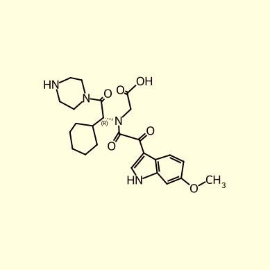 COc1ccc2c(C(=O)C(=O)N(CC(=O)O)[C@@H](C(=O)N3CCNCC3)C3CCCCC3)c[nH]c2c1